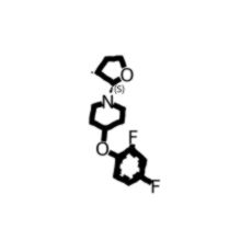 Fc1ccc(OC2CCN([C@@H]3[CH]CCO3)CC2)c(F)c1